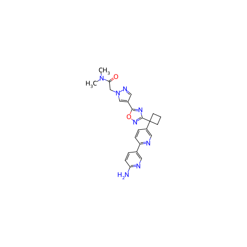 CN(C)C(=O)Cn1cc(-c2nc(C3(c4ccc(-c5ccc(N)nc5)nc4)CCC3)no2)cn1